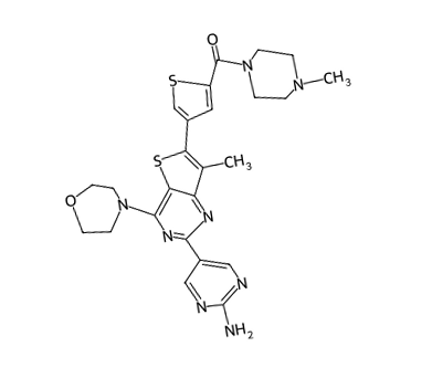 Cc1c(-c2csc(C(=O)N3CCN(C)CC3)c2)sc2c(N3CCOCC3)nc(-c3cnc(N)nc3)nc12